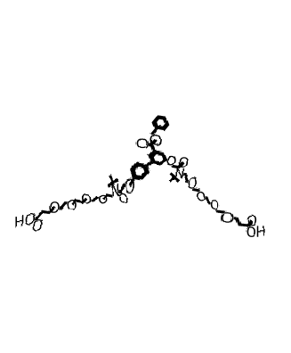 CC(C)(C)N(CCOCCOCCOCCOCCC(=O)O)C(=O)COc1ccc(-c2cc(OCC(=O)N(CCOCCOCCOCCOCCC(=O)O)C(C)(C)C)cc(C(=O)OCc3ccccc3)c2)cc1